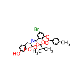 Cc1ccc(C(=O)Oc2cc(Br)cc(C=NC(Cc3ccc(O)cc3)C(=O)O)c2OC(=O)C(C)C)cc1